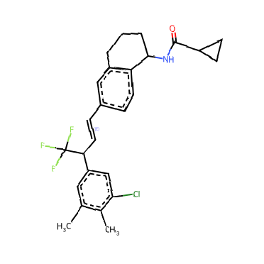 Cc1cc(C(/C=C/c2ccc3c(c2)CCCC3NC(=O)C2CC2)C(F)(F)F)cc(Cl)c1C